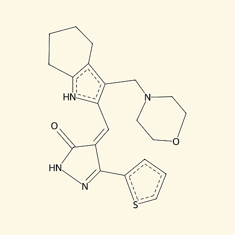 O=C1NN=C(c2cccs2)C1=Cc1[nH]c2c(c1CN1CCOCC1)CCCC2